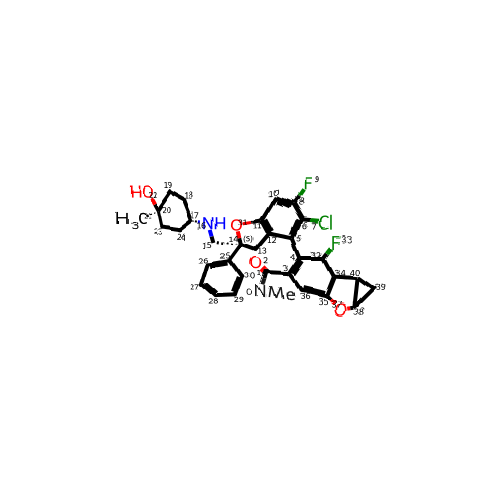 CNC(=O)C1=C(c2c(Cl)c(F)cc3c2C[C@@](CN[C@H]2CC[C@](C)(O)CC2)(c2ccccc2)O3)C(F)C2C(=C1)OC1CC12